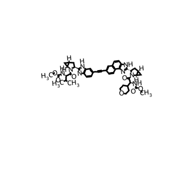 COC(=O)N[C@H](C(=O)N1[C@@H]2C[C@@H]2C[C@H]1c1nc2ccc(C#Cc3ccc4c(ccc5[nH]c([C@@H]6C[C@H]7C[C@H]7N6C(=O)[C@@H](NC(=O)OC)C6CCOCC6)nc54)c3)cc2[nH]1)C(C)C